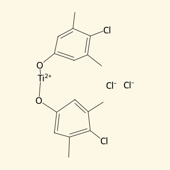 Cc1cc([O][Ti+2][O]c2cc(C)c(Cl)c(C)c2)cc(C)c1Cl.[Cl-].[Cl-]